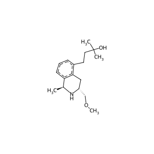 COC[C@H]1Cc2c(CCC(C)(C)O)cccc2[C@H](C)N1